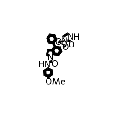 COc1ccc(NC(=O)N2CCc3c2ccc(S(=O)(=O)N2CCNC2=O)c3-c2ccccc2)cc1